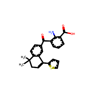 CC1(C)CC=C(c2cccs2)c2cc(C(=O)c3cccc(C(=O)O)c3N)ccc21